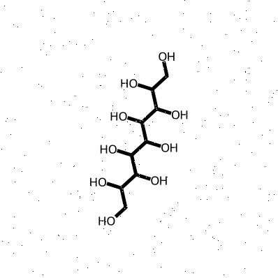 OCC(O)C(O)C(O)C(O)C(O)C(O)C(O)CO